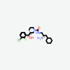 N[C@H](CNC(=O)N1CCC[C@@H]([C@H](O)c2cccc(Cl)c2F)C1)CC1CCCCC1